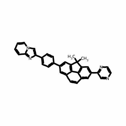 CC1(C)c2cc(-c3ccc(-c4cn5ccccc5n4)cc3)cc3ccc4cc(-c5cnccn5)cc1c4c23